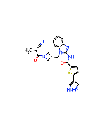 C=C(C#N)C(=O)N1CC(Cn2c(NC(=O)c3ccc(-c4cn[nH]c4)s3)nc3ccccc32)C1